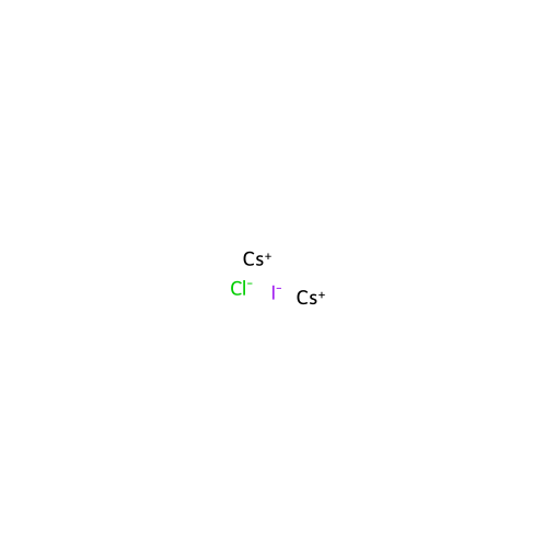 [Cl-].[Cs+].[Cs+].[I-]